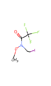 CON(CI)C(=O)C(F)(F)F